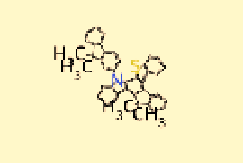 CC1(C)c2ccccc2-c2ccc(-n3c4ccccc4c4c5c(c6c7ccccc7sc6c43)-c3ccccc3C5(C)C)cc21